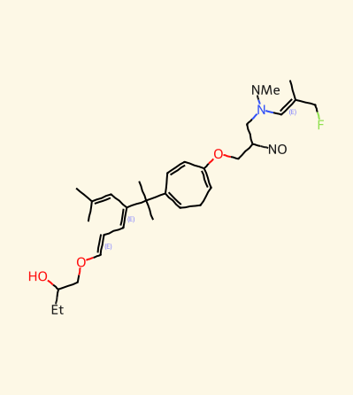 CCC(O)CO/C=C/C=C(\C=C(C)C)C(C)(C)C1=CCC=C(OCC(CN(/C=C(\C)CF)NC)N=O)C=C1